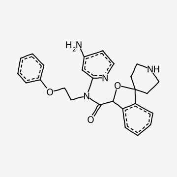 Nc1ccnc(N(CCOc2ccccc2)C(=O)C2OC3(CCNCC3)c3ccccc32)c1